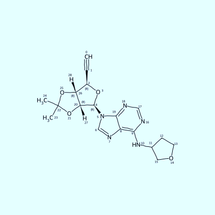 C#C[C@H]1O[C@@H](n2cnc3c(NC4CCOC4)ncnc32)[C@@H]2OC(C)(C)O[C@@H]21